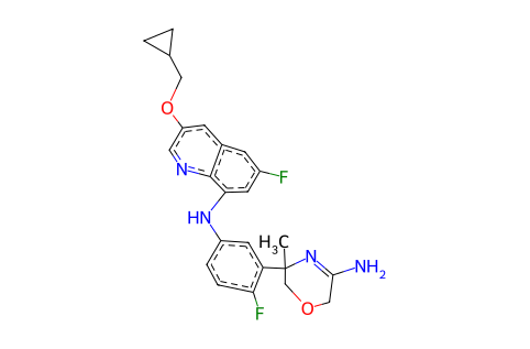 CC1(c2cc(Nc3cc(F)cc4cc(OCC5CC5)cnc34)ccc2F)COCC(N)=N1